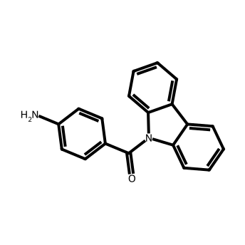 Nc1ccc(C(=O)n2c3ccccc3c3ccccc32)cc1